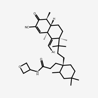 CC(=O)/C=C1/[C@@]2(C)C=C(C#N)C(=O)[C@@H](C)[C@@H]2CC[C@@]1(C)C(C)(C)CC[C@@]1(CCC(=O)NC2COC2)CCC(C)(C)CC1C